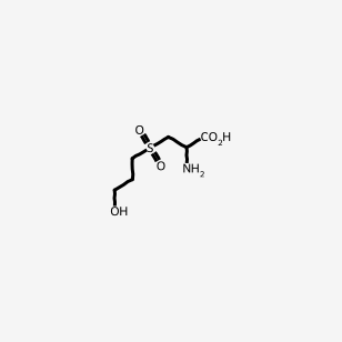 NC(CS(=O)(=O)CCCO)C(=O)O